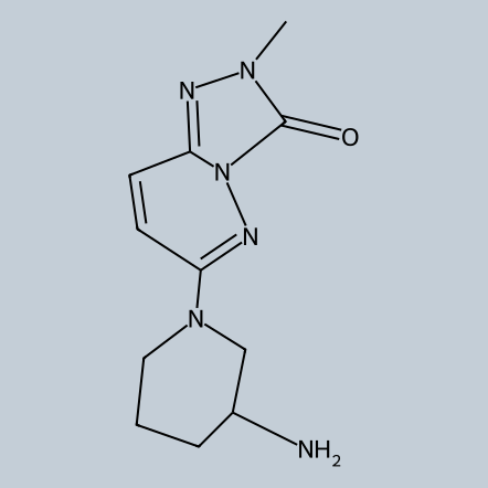 Cn1nc2ccc(N3CCCC(N)C3)nn2c1=O